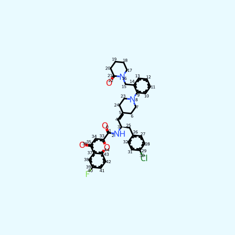 O=C(N[C@@H](C=C1CCN(c2ccccc2CN2CCCCC2=O)CC1)Cc1ccc(Cl)cc1)c1cc(=O)c2cc(F)ccc2o1